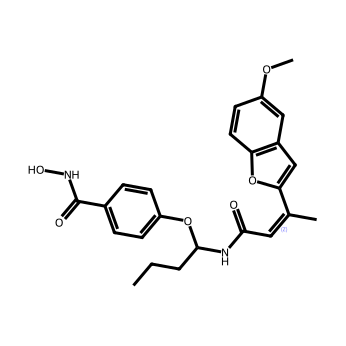 CCCC(NC(=O)/C=C(/C)c1cc2cc(OC)ccc2o1)Oc1ccc(C(=O)NO)cc1